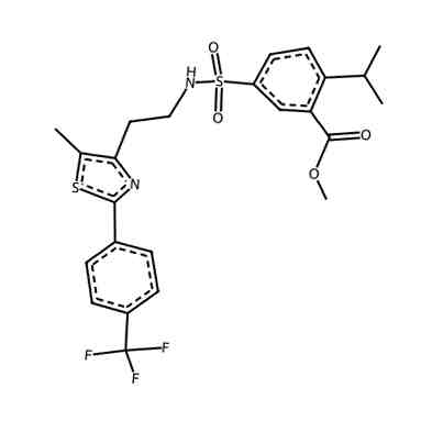 COC(=O)c1cc(S(=O)(=O)NCCc2nc(-c3ccc(C(F)(F)F)cc3)sc2C)ccc1C(C)C